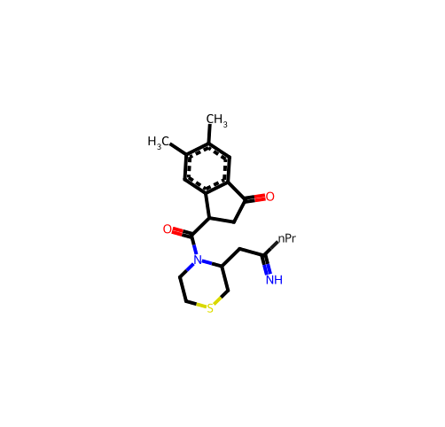 CCCC(=N)CC1CSCCN1C(=O)C1CC(=O)c2cc(C)c(C)cc21